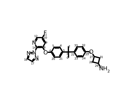 CC(C)(c1ccc(Oc2cc(F)cnc2-n2nccn2)cc1)c1ccc(OC2CC(N)C2)cc1